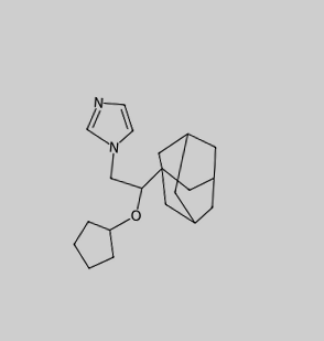 c1cn(CC(OC2CCCC2)C23CC4CC(CC(C4)C2)C3)cn1